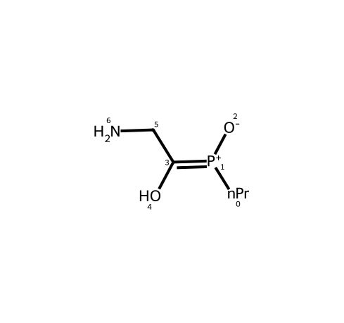 CCC/[P+]([O-])=C(\O)CN